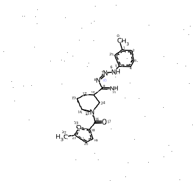 Cc1cccc(N/N=N\C(=N)C2CCCN(C(=O)c3ccc(C)o3)C2)c1